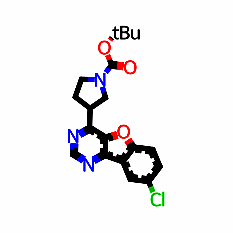 CC(C)(C)OC(=O)N1CCC(c2ncnc3c2oc2ccc(Cl)cc23)C1